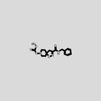 CC(C)(C)OC(=O)ON1CCC2(CC1)CC(C(=O)NCc1ccccc1)=NO2